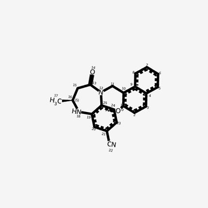 COc1ccc2ccccc2c1CN1C(=O)C[C@H](C)Nc2cc(C#N)ccc21